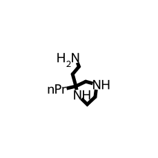 CCCC1(CCN)CNCCN1